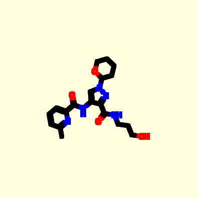 Cc1cccc(C(=O)Nc2cn(C3CCCCO3)nc2C(=O)NCCCO)n1